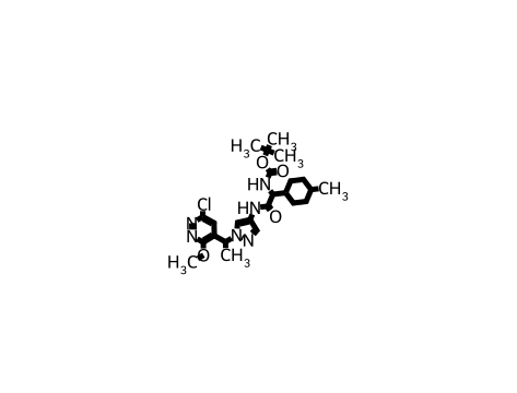 COc1nnc(Cl)cc1C(C)n1cc(NC(=O)C(NC(=O)OC(C)(C)C)C2CCC(C)CC2)cn1